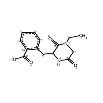 CCN1CC(=O)NC(Cc2ccccc2C(=O)O)C1=O